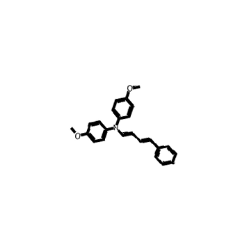 COc1ccc(N(C=CC=Cc2ccccc2)c2ccc(OC)cc2)cc1